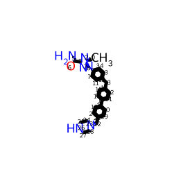 Cc1nc(C(N)=O)nn1-c1ccc(Cc2ccc(-c3ccc(CN4CCNCC4)cc3)cc2)cc1